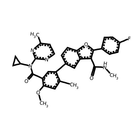 CNC(=O)c1c(-c2ccc(F)cc2)oc2ccc(-c3cc(C(=O)N(c4nccc(C)n4)C4CC4)c(OC)cc3C)cc12